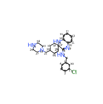 Clc1cccc(CNC2=Nc3ccccc3NC23CCC(CN2CCNCC2)CC3)c1